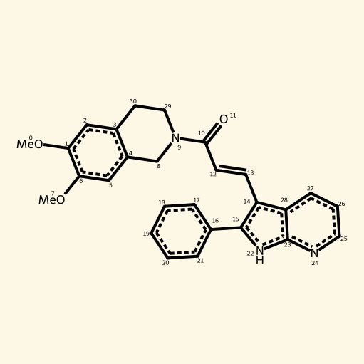 COc1cc2c(cc1OC)CN(C(=O)C=Cc1c(-c3ccccc3)[nH]c3ncccc13)CC2